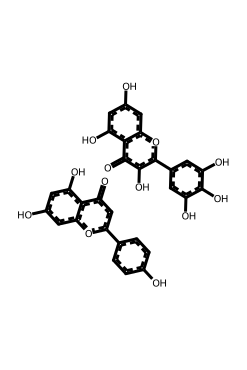 O=c1c(O)c(-c2cc(O)c(O)c(O)c2)oc2cc(O)cc(O)c12.O=c1cc(-c2ccc(O)cc2)oc2cc(O)cc(O)c12